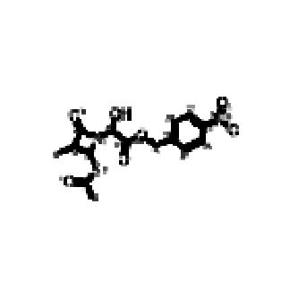 CC(=O)SC1C(C)C(=O)N1C(O)C(=O)OCc1ccc([N+](=O)[O-])cc1